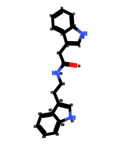 O=C(Cc1c[nH]c2ccccc12)NCCc1c[nH]c2ccccc12